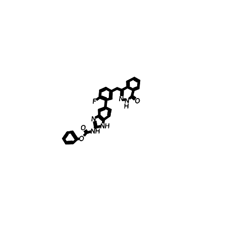 O=C(Nc1nc2cc(-c3cc(Cc4n[nH]c(=O)c5ccccc45)ccc3F)ccc2[nH]1)Oc1ccccc1